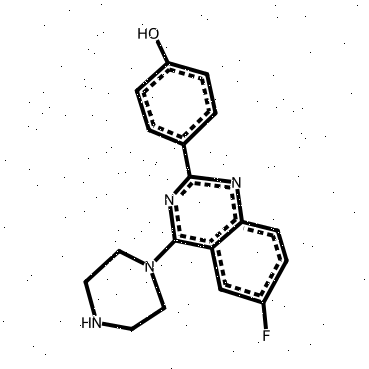 Oc1ccc(-c2nc(N3CCNCC3)c3cc(F)ccc3n2)cc1